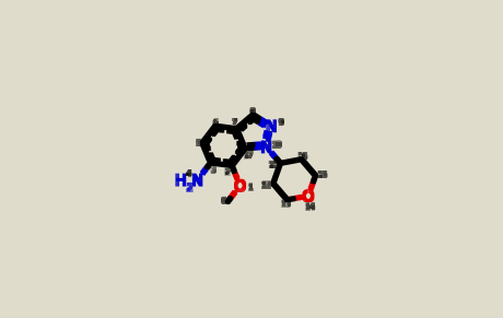 COc1c(N)ccc2cnn(C3CCOCC3)c12